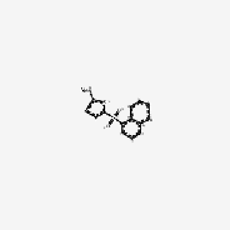 CNc1ccc(S(=O)(=O)c2cccc3ccccc23)s1